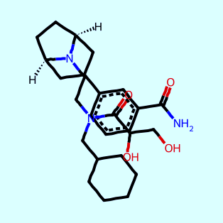 NC(=O)c1cccc(C2C[C@H]3CC[C@@H](C2)N3CCN(CC2CCCCC2)C(=O)C(O)CO)c1